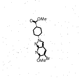 COc1nc2nn([C@H]3CC[C@H](C(=O)OC)CC3)cc2cc1Br